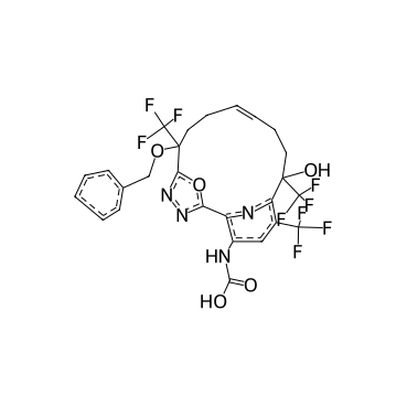 O=C(O)Nc1cc(C(F)(F)F)c2nc1-c1nnc(o1)C(OCc1ccccc1)(C(F)(F)F)CCC=CCCC2(O)C(F)(F)F